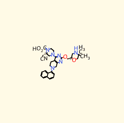 CC1(C)CO[C@@H](COc2nc3c(c(N4CCN(C(=O)O)[C@@H](CC#N)C4)n2)CCN(c2cccc4ccccc24)C3)CN1